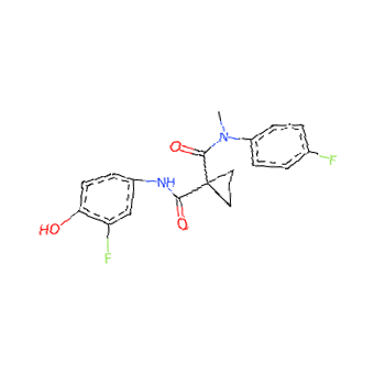 CN(C(=O)C1(C(=O)Nc2ccc(O)c(F)c2)CC1)c1ccc(F)cc1